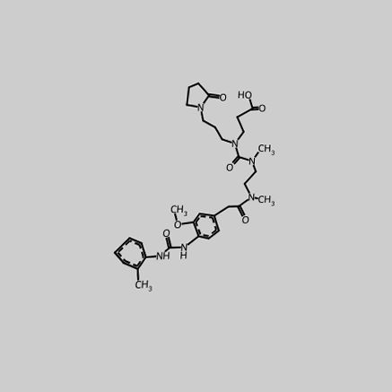 COc1cc(CC(=O)N(C)CCN(C)C(=O)N(CCCN2CCCC2=O)CCC(=O)O)ccc1NC(=O)Nc1ccccc1C